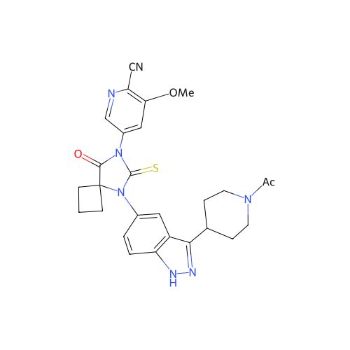 COc1cc(N2C(=O)C3(CCC3)N(c3ccc4[nH]nc(C5CCN(C(C)=O)CC5)c4c3)C2=S)cnc1C#N